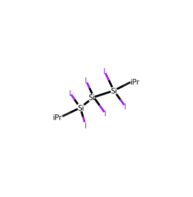 CC(C)[Si](I)(I)[Si](I)(I)[Si](I)(I)C(C)C